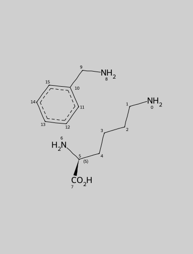 NCCCC[C@H](N)C(=O)O.NCc1ccccc1